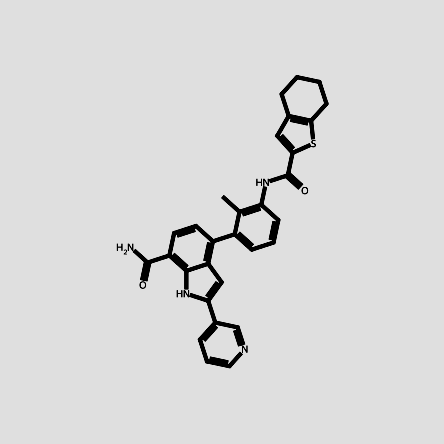 Cc1c(NC(=O)c2cc3c(s2)CCCC3)cccc1-c1ccc(C(N)=O)c2[nH]c(-c3cccnc3)cc12